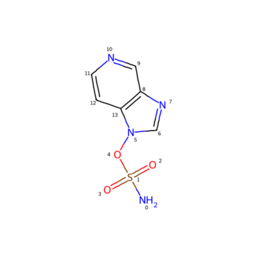 NS(=O)(=O)On1cnc2cnccc21